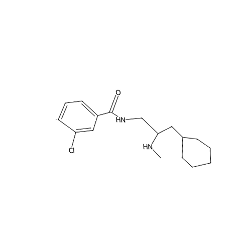 CNC(CNC(=O)c1cc[c]c(Cl)c1)CC1CCCCC1